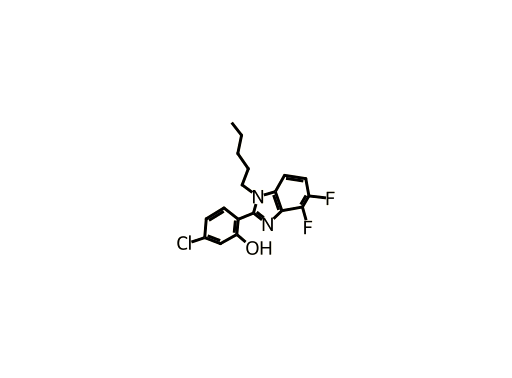 CCCCCn1c(-c2ccc(Cl)cc2O)nc2c(F)c(F)ccc21